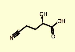 N#CCC[C@@H](O)C(=O)O